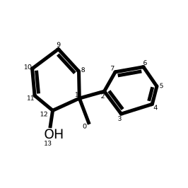 CC1(c2ccccc2)C=CC=CC1O